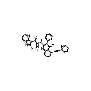 CC(NC(=O)c1c(N)nn2cccnc12)c1nc2cccc(C#Cc3ccccn3)c2c(=O)n1-c1ccccc1